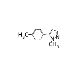 CC1=CC=C(c2ccnn2C)CC1